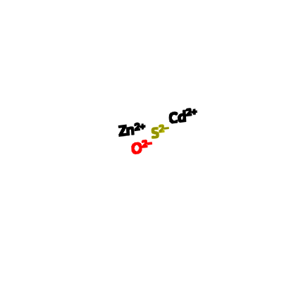 [Cd+2].[O-2].[S-2].[Zn+2]